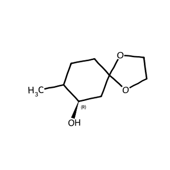 CC1CCC2(C[C@H]1O)OCCO2